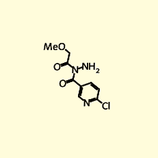 COCC(=O)N(N)C(=O)c1ccc(Cl)nc1